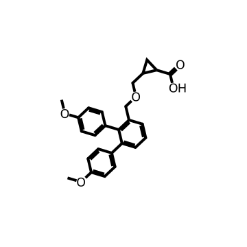 COc1ccc(-c2cccc(COCC3CC3C(=O)O)c2-c2ccc(OC)cc2)cc1